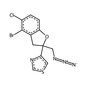 [N-]=[N+]=NCC1(c2cscn2)Cc2c(ccc(Cl)c2Br)O1